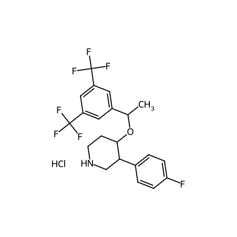 CC(OC1CCNCC1c1ccc(F)cc1)c1cc(C(F)(F)F)cc(C(F)(F)F)c1.Cl